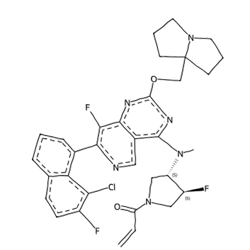 C=CC(=O)N1C[C@H](F)[C@@H](N(C)c2nc(OCC34CCCN3CCC4)nc3c(F)c(-c4cccc5ccc(F)c(Cl)c45)ncc23)C1